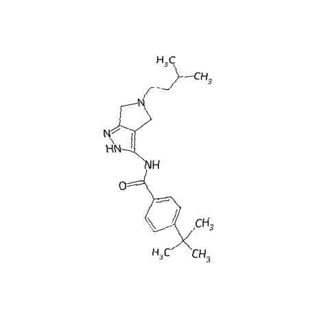 CC(C)CCN1Cc2n[nH]c(NC(=O)c3ccc(C(C)(C)C)cc3)c2C1